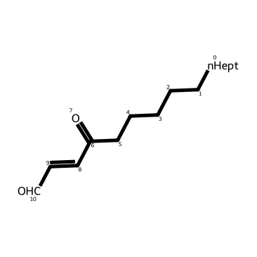 CCCCCCCCCCCCC(=O)C=CC=O